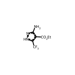 CCOC(=O)c1c(N)n[nH]c1C(F)(F)F